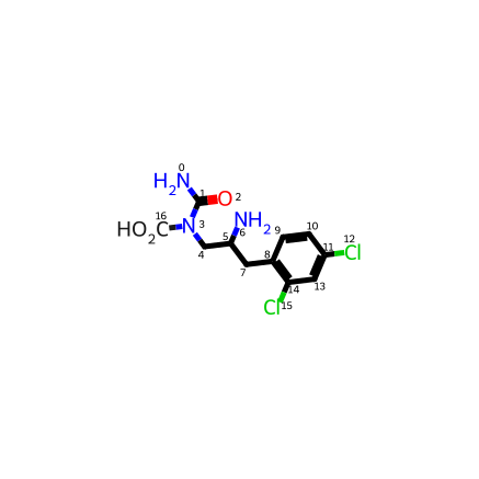 NC(=O)N(CC(N)Cc1ccc(Cl)cc1Cl)C(=O)O